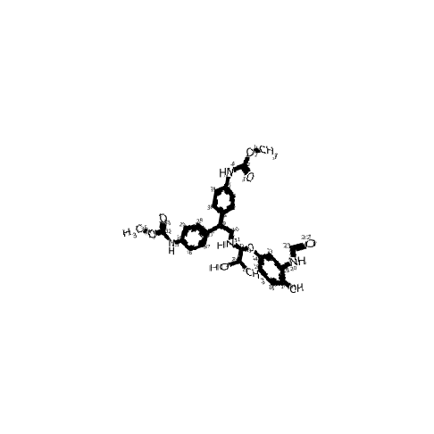 COC(=O)Nc1ccc(C(CNC(Oc2ccc(O)c(NC=O)c2)C(C)O)c2ccc(NC(=O)OC)cc2)cc1